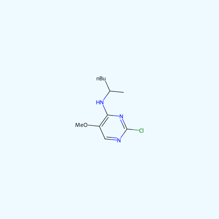 CCCCC(C)Nc1nc(Cl)ncc1OC